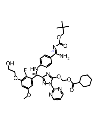 COc1cc(OCCO)c(F)c([C@@H](Nc2ccc(/C(N)=N/C(=O)OCC(C)(C)C)cc2)c2nc(OCOC(=O)C3CCCCC3)n(-c3ncccn3)n2)c1